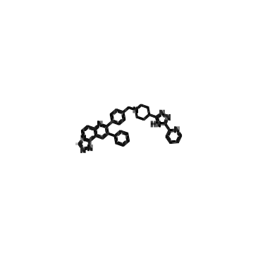 [c]1nnc2c3cc(-c4ccccc4)c(-c4ccc(CN5CCC(c6nnc(-c7ccccn7)[nH]6)CC5)cc4)nc3ccn12